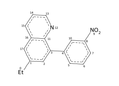 CCc1cc(-c2cccc([N+](=O)[O-])c2)c2ncccc2c1